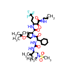 C=CCNC(=O)C(=O)C(CCC(F)(F)F)NC(=O)[C@@H]1C[C@@H](OC(C)(C)C)CN1C(=O)[C@@H](NC(=O)N[C@H](CN(C)S(C)(=O)=O)C(=C)C)C1CCCCC1